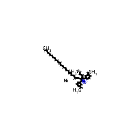 CCCCCCCCCCCCCCCCCCCCCCCCC#CC1=C(c2cccc(CC)c2)[N+](=[N-])C(c2cccc(CC)c2)=C1CCCC.[Ni]